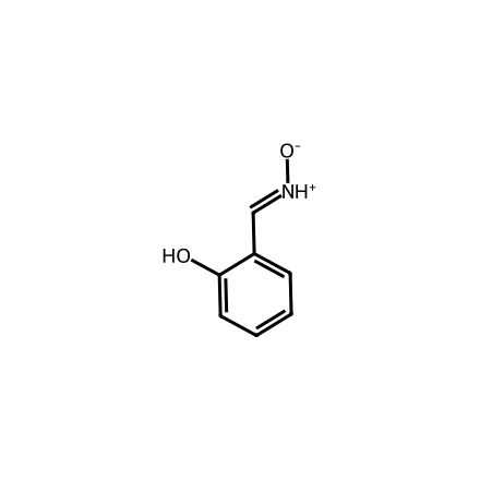 [O-][NH+]=Cc1ccccc1O